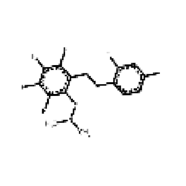 CN(C)Sc1c(F)c(F)c(F)c(F)c1CCc1ccc(F)cc1F